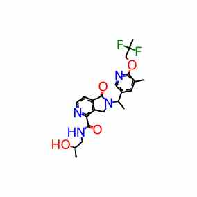 Cc1cc(C(C)N2Cc3c(ccnc3C(=O)NC[C@@H](C)O)C2=O)cnc1OCC(C)(F)F